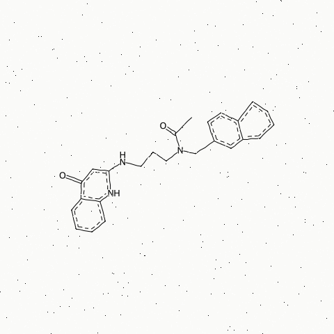 CC(=O)N(CCCNc1cc(=O)c2ccccc2[nH]1)Cc1ccc2ccccc2c1